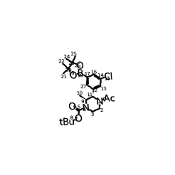 CC(=O)N1CCN(C(=O)OC(C)(C)C)[C@@H](C)[C@@H]1c1cc(Cl)cc(B2OC(C)(C)C(C)(C)O2)c1